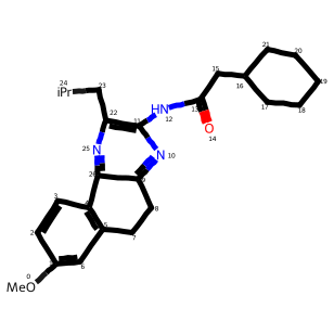 COc1ccc2c(c1)CCc1nc(NC(=O)CC3CCCCC3)c(CC(C)C)nc1-2